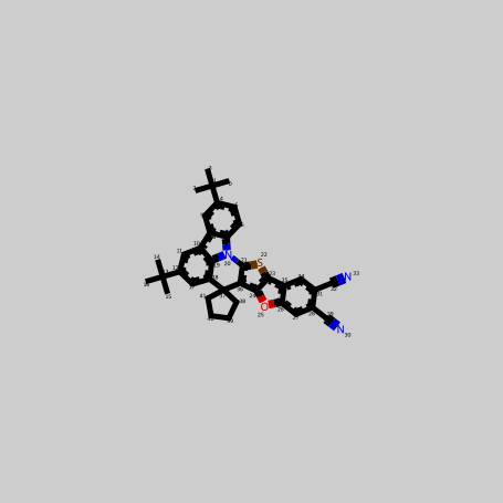 CC(C)(C)c1ccc2c(c1)c1cc(C(C)(C)C)cc3c1n2-c1sc2c(oc4cc(C#N)c(C#N)cc42)c1C31CCCC1